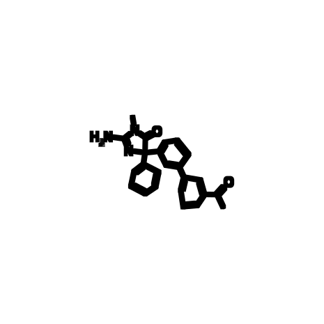 CC(=O)c1cccc(-c2cccc(C3(c4ccccc4)N=C(N)N(C)C3=O)c2)c1